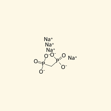 O=P([O-])([O-])CP(=O)([O-])[O-].[Na+].[Na+].[Na+].[Na+]